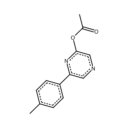 CC(=O)Oc1cncc(-c2ccc(C)cc2)n1